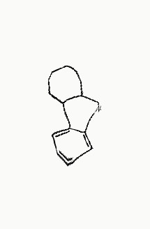 c1ccc2c(c1)[N]C1CCCCC21